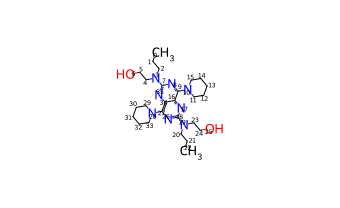 CCCN(CCO)c1nc(N2CCCCC2)c2nc(N(CCC)CCO)nc(N3CCCCC3)c2n1